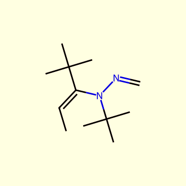 C=NN(/C(=C\C)C(C)(C)C)C(C)(C)C